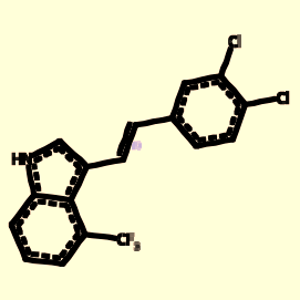 FC(F)(F)c1cccc2[nH]cc(/C=C/c3ccc(Cl)c(Cl)c3)c12